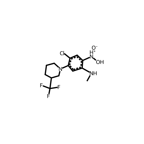 CNc1cc(N2CCCC(C(F)(F)F)C2)c(Cl)cc1[NH+]([O-])O